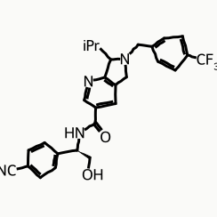 CC(C)C1c2ncc(C(=O)N[C@@H](CO)c3ccc(C#N)cc3)cc2CN1Cc1ccc(C(F)(F)F)cc1